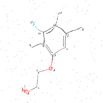 Cc1cc(OCCO)c(C)c(F)c1C